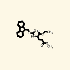 CCOC(=O)C(CCC(=O)OC)NC(=O)OCC1c2ccccc2-c2ccccc21